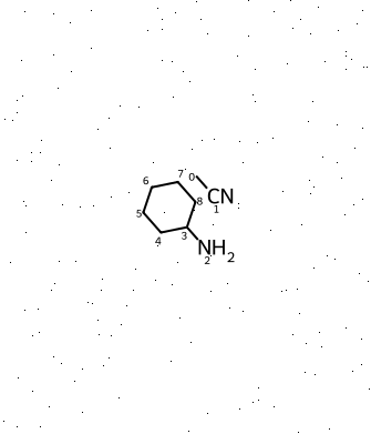 CC#N.NC1CCCCC1